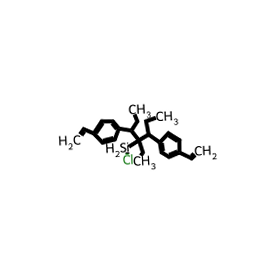 C=Cc1ccc(C(CC)C(CC)([SiH2]Cl)C(CC)c2ccc(C=C)cc2)cc1